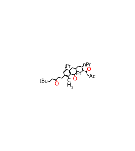 CCCC(CC1CC(=O)c2c(C)c(CCC(=O)CCC(C)(C)C)cc(C(C)C)c2C1)C(CC)C(=O)CC(C)=O